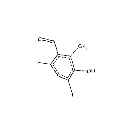 Cc1c(O)c(I)cc(I)c1C=O